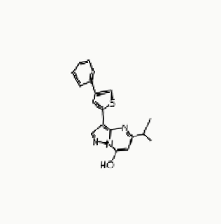 CC(C)c1cc(O)n2ncc(-c3cc(-c4ccccc4)cs3)c2n1